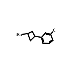 CC(C)(C)C1CC(c2cccc(Cl)c2)C1